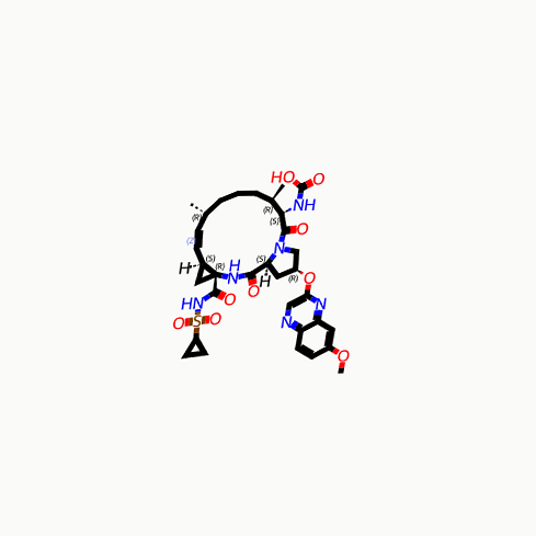 COc1ccc2ncc(O[C@@H]3C[C@H]4C(=O)N[C@]5(C(=O)NS(=O)(=O)C6CC6)C[C@H]5/C=C\[C@H](C)CCC[C@@H](C)[C@H](NC(=O)O)C(=O)N4C3)nc2c1